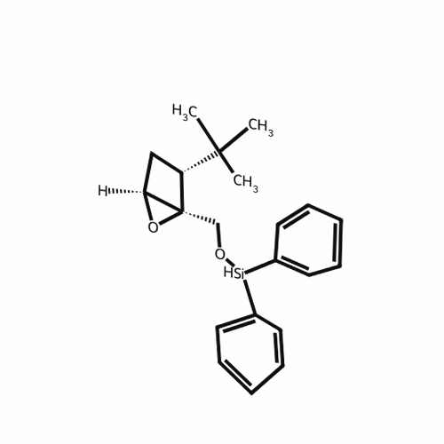 CC(C)(C)[C@H]1C[C@@H]2O[C@@]21CO[SiH](c1ccccc1)c1ccccc1